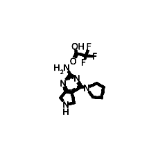 Nc1nc2c(c(N3CCCC3)n1)CNC2.O=C(O)C(F)(F)F